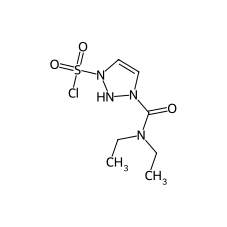 CCN(CC)C(=O)N1C=CN(S(=O)(=O)Cl)N1